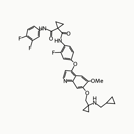 COc1cc2c(Oc3ccc(NC(=O)C4(C(=O)Nc5ccc(F)c(F)c5)CC4)c(F)c3)ccnc2cc1OCC1(NCC2CC2)CC1